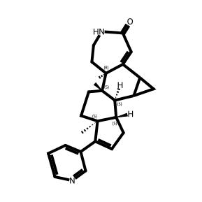 C[C@]12CCNC(=O)C=C1C1CC1[C@H]1[C@@H]3CC=C(c4cccnc4)[C@@]3(C)CC[C@@]12C